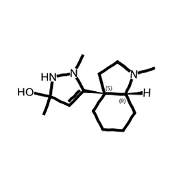 CN1NC(C)(O)C=C1[C@]12CCCC[C@H]1N(C)CC2